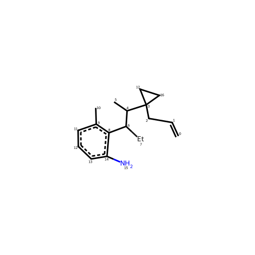 C=CCC1(C(C)C(CC)c2c(C)cccc2N)CC1